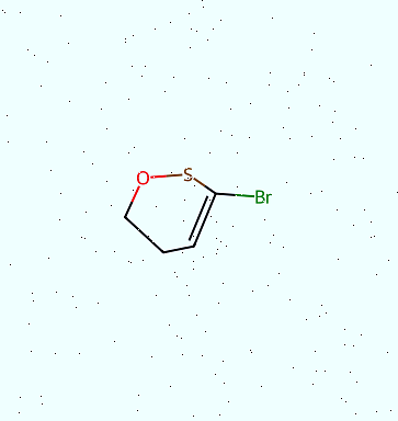 BrC1=CCCOS1